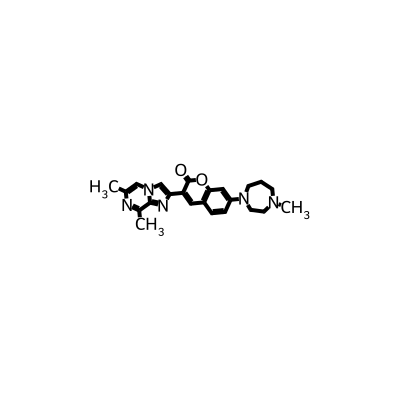 Cc1cn2cc(-c3cc4ccc(N5CCCN(C)CC5)cc4oc3=O)nc2c(C)n1